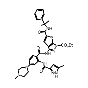 CCOC(=O)n1nc(NC(=O)c2ccc(N3CCN(C)CC3)cc2NC(=O)c2cc(C)[nH]n2)c2cc(C(=O)NC(C)(C)c3ccccc3)sc21